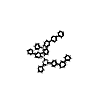 c1ccc(-c2ccc(-c3ccc4c(c3)c3ccc5c(c6cc(-c7ccccc7)ccc6n5-c5nc(-c6ccccc6)nc(-c6ccc(-c7cccc(-c8ccccc8)c7)cc6)n5)c3n4-c3ccccc3)cc2)cc1